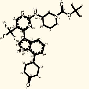 CC(C)(C)OC(=O)N1CCCC(Nc2ncc(C(F)(F)F)c(-c3c[nH]c4c(C5CCC(=O)CC5)cccc34)n2)C1